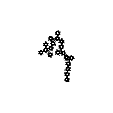 c1ccc(-c2ccc(-c3ccc(-c4ccc(-n5c6ccccc6c6cc(-c7ccc8c(c7)c7ccccc7n8-c7ccc(-c8cccc(-c9cc(-c%10ccccc%10)cc(-n%10c%11ccccc%11c%11cc(-c%12ccc%13c(c%12)c%12c(-c%14ccccc%14)cc(-c%14ccccc%14)cc%12n%13-c%12ccccc%12)ccc%11%10)c9)c8)cc7)ccc65)cc4)cc3)cc2)cc1